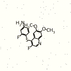 COc1cc2ncc(F)c(Sc3ccc(N)cc3F)c2cc1OC